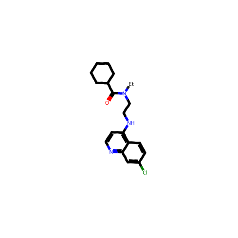 CCN(CCNc1ccnc2cc(Cl)ccc12)C(=O)C1CCCCC1